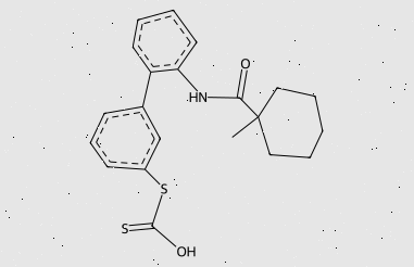 CC1(C(=O)Nc2ccccc2-c2cccc(SC(O)=S)c2)CCCCC1